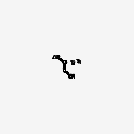 OOOO.[Ti].[Ti]